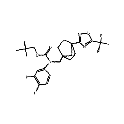 CC(C)(C)COC(=O)N(CC12CCC(c3noc(C(C)(F)F)n3)(CC1)C2)c1cc(I)c(F)cn1